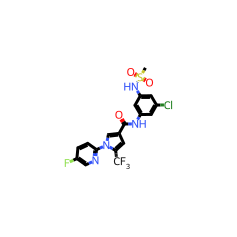 CS(=O)(=O)Nc1cc(Cl)cc(NC(=O)c2cc(C(F)(F)F)n(-c3ccc(F)cn3)c2)c1